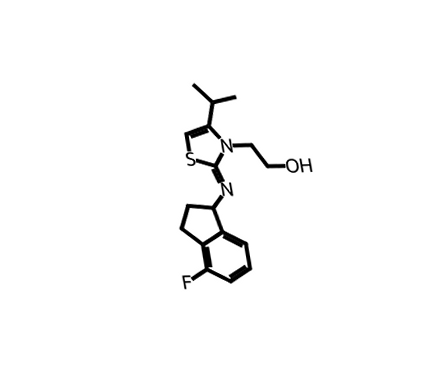 CC(C)c1csc(=NC2CCc3c(F)cccc32)n1CCO